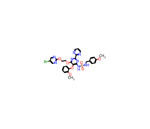 COc1ccc(CNS(=O)(=O)Nc2nc(-c3ncccn3)nc(OCCOc3ncc(Br)cn3)c2Oc2ccccc2OC)cc1